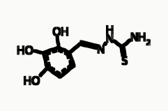 NC(=S)NN=Cc1ccc(O)c(O)c1O